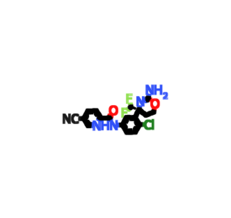 N#Cc1ccc(C(=O)Nc2ccc(Cl)c([C@]3(C(F)F)CCOC(N)=N3)c2)nc1